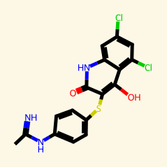 CC(=N)Nc1ccc(Sc2c(O)c3c(Cl)cc(Cl)cc3[nH]c2=O)cc1